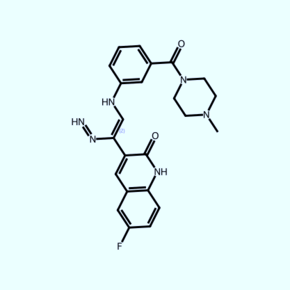 CN1CCN(C(=O)c2cccc(N/C=C(\N=N)c3cc4cc(F)ccc4[nH]c3=O)c2)CC1